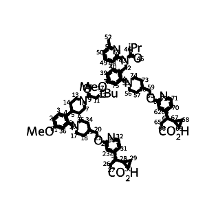 COc1ccc(C2CCN(C(=O)CC(C)(C)C)CC2)c(N2CCC(COc3cc(C(CC(=O)O)C4CC4)ccn3)CC2)c1.COc1ccc(CN(C(=O)C(C)C)c2cccc(C)n2)c(N2CCC(COc3cc(C(CC(=O)O)C4CC4)ccn3)CC2)c1